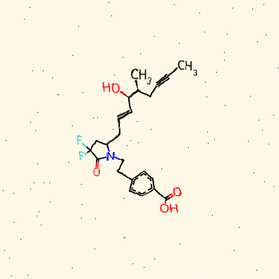 CC#CC[C@H](C)[C@H](O)/C=C/CC1CC(F)(F)C(=O)N1CCc1ccc(C(=O)O)cc1